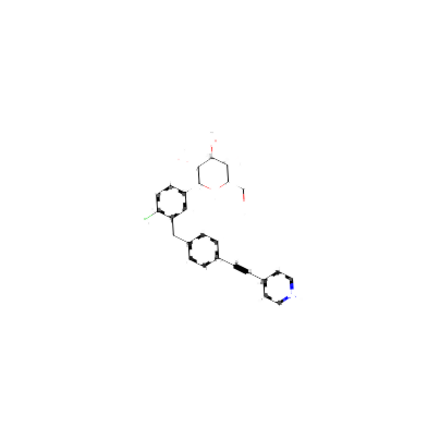 OC[C@H]1O[C@@H](c2ccc(Cl)c(Cc3ccc(C#Cc4ccncc4)cc3)c2)[C@H](O)[C@@H](O)[C@@H]1O